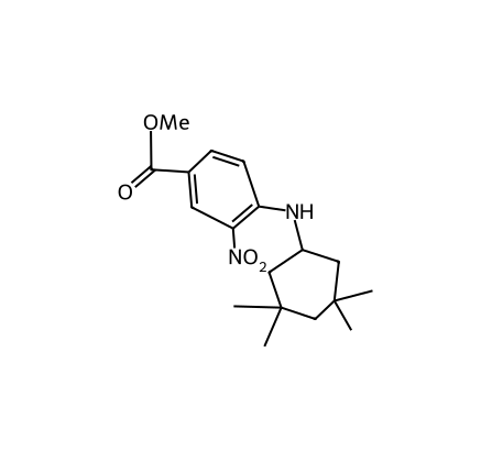 COC(=O)c1ccc(NC2CC(C)(C)CC(C)(C)C2)c([N+](=O)[O-])c1